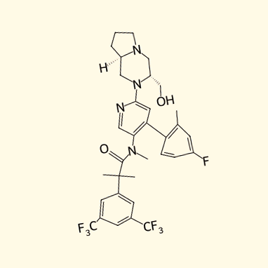 Cc1cc(F)ccc1-c1cc(N2C[C@H]3CCCN3C[C@@H]2CO)ncc1N(C)C(=O)C(C)(C)c1cc(C(F)(F)F)cc(C(F)(F)F)c1